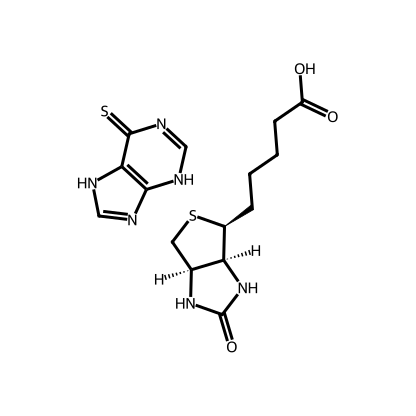 O=C(O)CCCC[C@@H]1SC[C@@H]2NC(=O)N[C@@H]21.S=c1nc[nH]c2nc[nH]c12